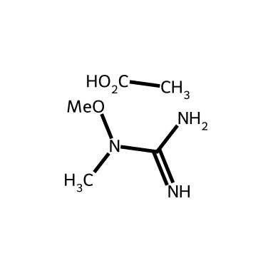 CC(=O)O.CON(C)C(=N)N